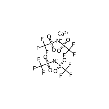 O=S(=O)([N-]S(=O)(=O)C(F)(F)F)C(F)(F)F.O=S(=O)([N-]S(=O)(=O)C(F)(F)F)C(F)(F)F.[Ca+2]